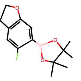 CC1(C)OB(c2cc3c(cc2F)CCO3)OC1(C)C